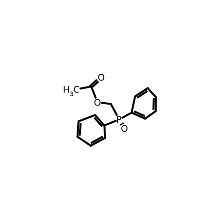 CC(=O)OCP(=O)(c1ccccc1)c1ccccc1